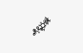 [2H]C([2H])([2H])Oc1ccc(NC(=O)C[N+](=O)[O-])cc1